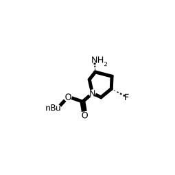 CCCCOC(=O)N1C[C@H](N)C[C@H](F)C1